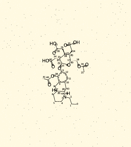 CCCN1CCC[C@@H]2Cc3c(ccc(O[C@@H]4O[C@@H](COC(C)=O)[C@H](CC(=O)O)[C@H](CC(=O)O)[C@H]4CC(=O)O)c3OC(C)=O)C[C@H]21